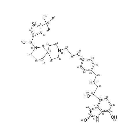 O=C(c1csc(C(F)(F)F)n1)N1CCOC2(CCN(CCOc3ccc(CNCC(O)c4ccc(O)c5[nH]c(=O)sc45)cc3)CC2)C1